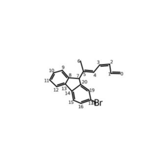 C=C/C=C\C=C(/C)C1c2ccccc2-c2ccc(Br)cc21